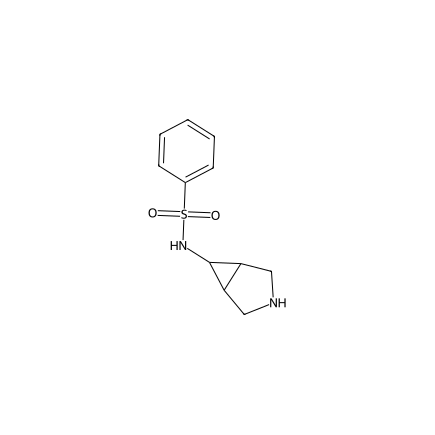 O=S(=O)(NC1C2CNCC21)c1ccccc1